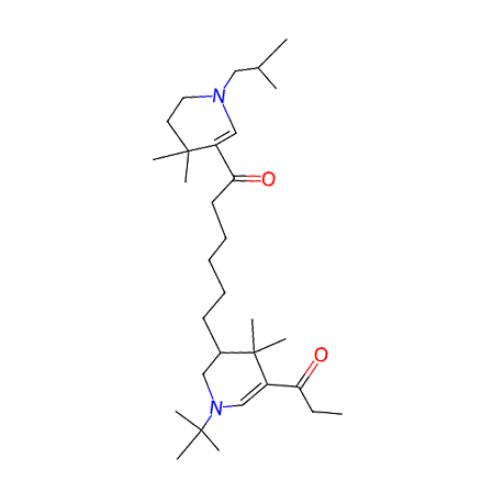 CCC(=O)C1=CN(C(C)(C)C)CC(CCCCCC(=O)C2=CN(CC(C)C)CCC2(C)C)C1(C)C